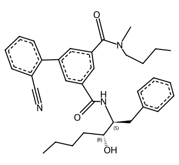 CCCC[C@@H](O)[C@H](Cc1ccccc1)NC(=O)c1cc(C(=O)N(C)CCCC)cc(-c2ccccc2C#N)c1